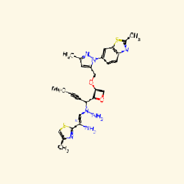 COC#CC(C1OCC1OCc1cc(C)nn1-c1ccc2nc(C)sc2c1)N(N)/C=C(\N)c1nc(C)cs1